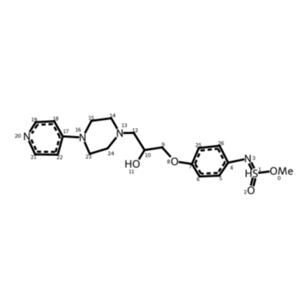 CO[SH](=O)=Nc1ccc(OCC(O)CN2CCN(c3ccncc3)CC2)cc1